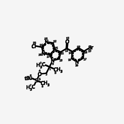 CC(C)(CO[Si](C)(C)C(C)(C)C)n1cc(C(=O)c2cncc(Br)c2)c2cnc(Cl)nc21